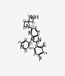 Fc1ccc(-c2nc3ccc(N4CCC45CNC5)nc3n2-c2ccncc2)c(F)c1